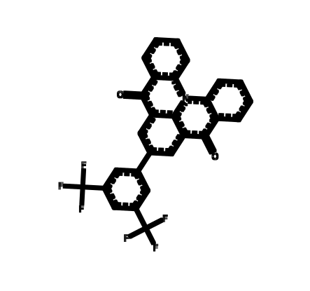 O=c1c2ccccc2n2c3ccccc3c(=O)c3cc(-c4cc(C(F)(F)F)cc(C(F)(F)F)c4)cc1c32